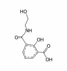 O=C(O)c1cccc(C(=O)NCCO)c1O